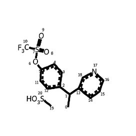 CC(c1ccc(OS(=O)(=O)C(F)(F)F)cc1)c1cccnc1.CS(=O)(=O)O